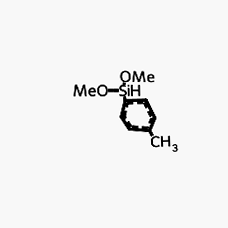 CO[SiH](OC)c1ccc(C)cc1